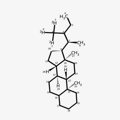 [2H]C([2H])([2H])C(CC)[C@@H](C)[C@H]1CC[C@H]2[C@@H]3CCC4CCCC[C@]4(C)[C@H]3CC[C@]12C